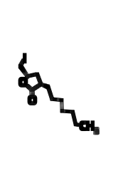 CCCCCCC[C@@H]1C[C@H](CI)OC1=O